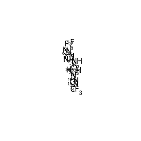 FC(F)Cn1ncc2ncc(N[C@H]3C[C@@H]4CN(c5ccc(C(F)(F)F)nn5)C[C@@H]4C3)nc21